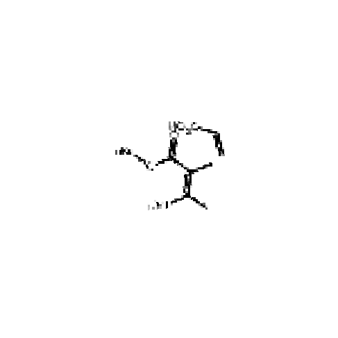 C=CC(=O)O.CCCCCCCCC(C)=C(C)C(=O)OCCCC